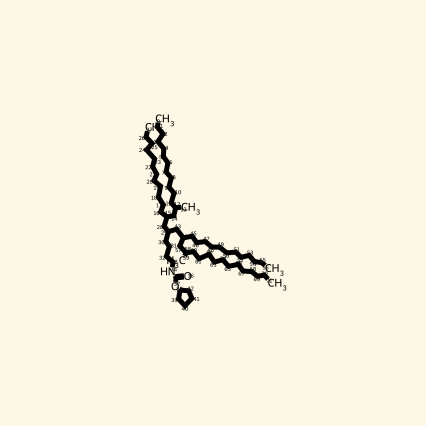 CCCCCCCCCCCCC(C)CC(CCCCCCCCCCCC)CC(CCCCNC(=O)OC1CCCC1)CC(CCCCCCCCCCCC)CC(C)CCCCCCCCCCCC